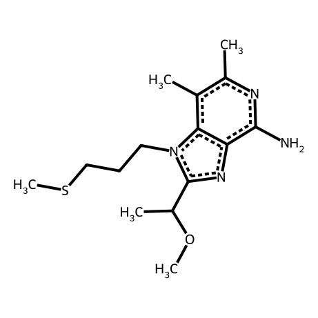 COC(C)c1nc2c(N)nc(C)c(C)c2n1CCCSC